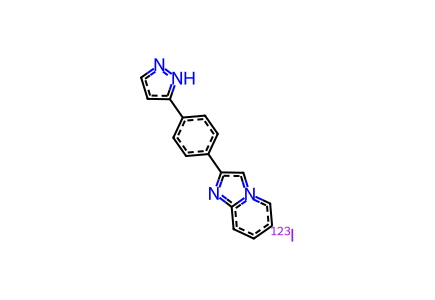 [123I]c1ccc2nc(-c3ccc(-c4ccn[nH]4)cc3)cn2c1